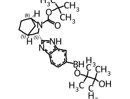 CC(C)(C)OC(=O)N1[C@@H]2CC[C@@H](C2)[C@H]1c1nc2ccc(BOC(C)(C)C(C)(C)O)cc2[nH]1